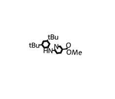 COC(=O)c1ccc(Nc2cc(C(C)(C)C)cc(C(C)(C)C)c2)nc1